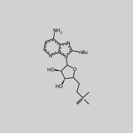 C=P(C)(C)CCC1OC(n2c(CCCC)nc3c(N)ccnc32)[C@H](O)[C@@H]1O